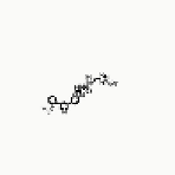 Cc1ccccc1-c1cncc(-c2ccc3nc(NC(=O)NCCc4nnn(C(C)C)n4)cn3c2)c1